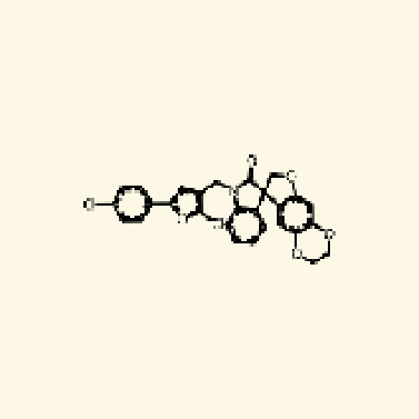 Cc1oc(-c2ccc(Cl)cc2)cc1CN1C(=O)C2(COc3cc4c(cc32)OCCO4)c2ccccc21